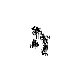 O=C(CCCc1nc2ccccc2c(=O)[nH]1)NC1CCC(c2nnc(-c3ccc(F)c(Cl)c3)o2)CC1.O=C(O)C(F)(F)F